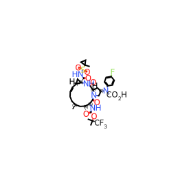 C[C@H]1CCC=C[C@@H]2C[C@@]2(C(=O)NS(=O)(=O)C2(C)CC2)NC(=O)[C@@H]2C[C@@H](N(C(=O)O)c3ccc(F)cc3)CN2C(=O)[C@@H](NC(=O)OC(C)(C)C(F)(F)F)[C@H](C)C1